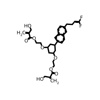 C=C(CO)C(=O)OCCOC1CC(OCCOC(=O)C(=C)CO)CC(c2ccc3cc(CCC=C(F)F)ccc3c2)C1